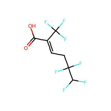 O=C(O)C(=CCC(F)(F)C(F)F)C(F)(F)F